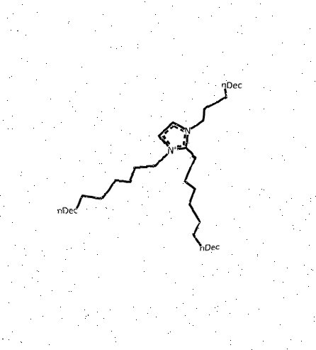 CCCCCCCCCCCCCCCCc1n(CCCCCCCCCCCCC)cc[n+]1CCCCCCCCCCCCCCCC